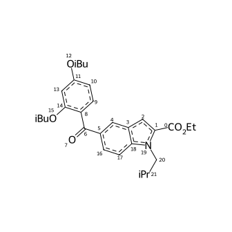 CCOC(=O)c1cc2cc(C(=O)c3ccc(OCC(C)C)cc3OCC(C)C)ccc2n1CC(C)C